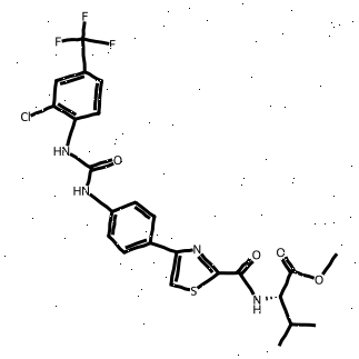 COC(=O)[C@@H](NC(=O)c1nc(-c2ccc(NC(=O)Nc3ccc(C(F)(F)F)cc3Cl)cc2)cs1)C(C)C